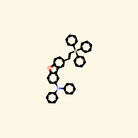 C(=C\[Si](c1ccccc1)(c1ccccc1)c1ccccc1)/c1ccc2oc3ccc(N(c4ccccc4)c4ccccc4)cc3c2c1